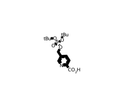 CC(C)(C)OP(=O)(OCc1ccc(C(=O)O)nc1)OC(C)(C)C